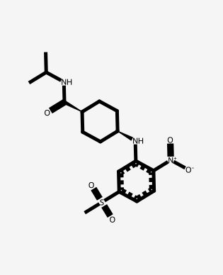 CC(C)NC(=O)[C@H]1CC[C@@H](Nc2cc(S(C)(=O)=O)ccc2[N+](=O)[O-])CC1